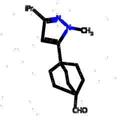 CC(C)c1cc(C23CCC(C=O)(CC2)CC3)n(C)n1